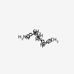 CN1CCN(Cc2ccc(NCC(=O)Nc3cc(-c4ccc5cc(N)ncc5c4)n(C)n3)cc2C(F)(F)F)CC1